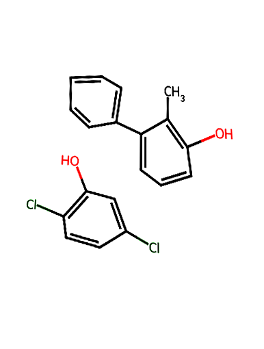 Cc1c(O)cccc1-c1ccccc1.Oc1cc(Cl)ccc1Cl